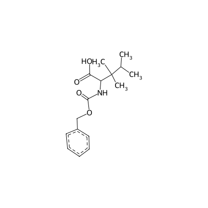 CC(C)C(C)(C)C(NC(=O)OCc1ccccc1)C(=O)O